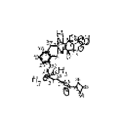 CCC1(O)C(=O)OCC2=C1CC1=C(C2=O)N2Cc3c(cccc3CC[Si](C)(C)CCCOC(=O)C3CCC3)C=C2N1